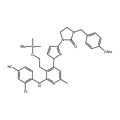 CCc1cc(C#N)ccc1Nc1nc(C)cc(-n2ccc(N3CCN(Cc4ccc(OC)cc4)C3=O)n2)c1CCO[Si](C)(C)C(C)(C)C